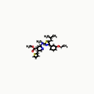 CCOc1cccc(-c2nc(N(C)c3cc(C(=O)OC)c(-c4cccs4)cn3)sc2CC(C)C)c1